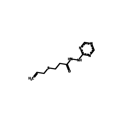 C=CCSCCC(=O)NNc1ncncn1